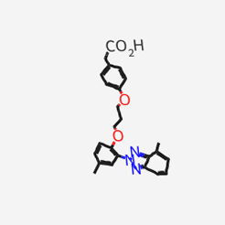 Cc1ccc(OCCCOc2ccc(CC(=O)O)cc2)c(-n2nc3cccc(C)c3n2)c1